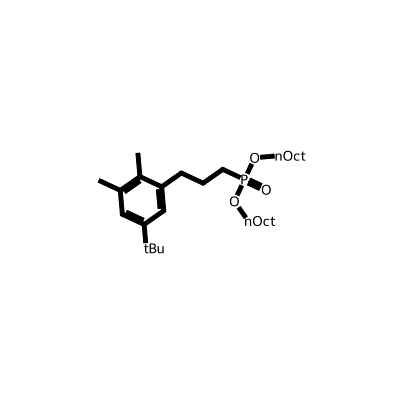 CCCCCCCCOP(=O)(CCCc1cc(C(C)(C)C)cc(C)c1C)OCCCCCCCC